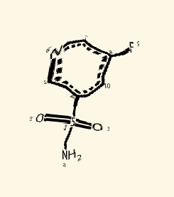 NS(=O)(=O)c1cncc(F)c1